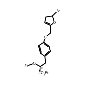 CCOC(=O)[C@H](Cc1ccc(OCC2=CCC(Br)O2)cc1)OCC